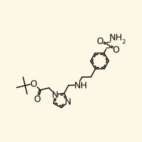 CC(C)(C)OC(=O)Cn1ccnc1CNCCc1ccc(S(N)(=O)=O)cc1